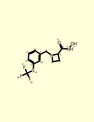 O=C(NO)C1CCN1Cc1cccc(SC(F)(F)F)c1